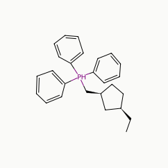 CC[C@@H]1CC[C@H](C[PH](c2ccccc2)(c2ccccc2)c2ccccc2)C1